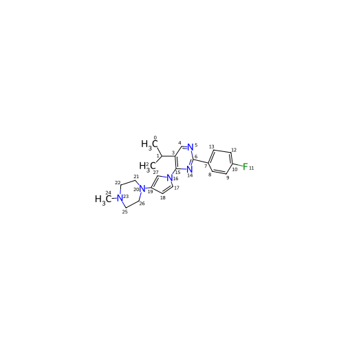 CC(C)c1cnc(-c2ccc(F)cc2)nc1-n1ccc(N2CCN(C)CC2)c1